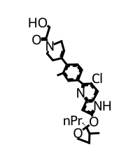 CCC[C@@]1(Oc2cc3nc(-c4ccc(C5=CCN(C(=O)CO)CC5)c(C)c4)c(Cl)cc3[nH]2)OCCC1C